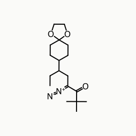 CCC(CC(=[N+]=[N-])C(=O)C(C)(C)C)C1CCC2(CC1)OCCO2